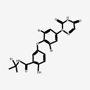 CCC(C)(C)NC(=O)c1cc(Oc2c(Br)cc(-n3ncc(=O)[nH]c3=O)cc2Br)ccc1O